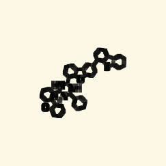 NC(NC(NCc1cccc2oc3ccccc3c12)c1cccc2c1oc1ccc(-c3cccc4c3sc3ccccc34)cc12)c1ccccc1